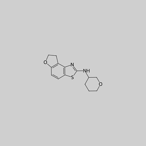 c1cc2sc(NC3CCCOC3)nc2c2c1OCC2